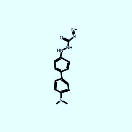 CN(C)c1ccc(-c2ccc(NNC(=O)N=N)cc2)cc1